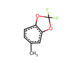 Cc1ccc2c(c1)OC(F)(F)O2